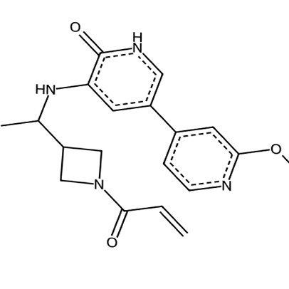 C=CC(=O)N1CC(C(C)Nc2cc(-c3ccnc(OC)c3)c[nH]c2=O)C1